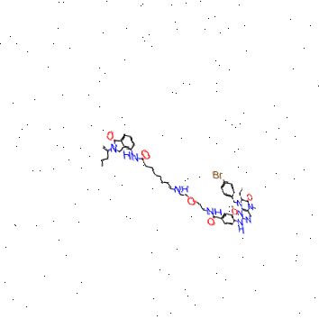 CCCC(C)N1Cc2c(NC(=O)CCCCCCCNCCOCCNC(=O)c3ccc(Nc4ncc5c(n4)N(Cc4ccc(Br)cc4)C(CC)C(=O)N5C)c(OC)c3)cccc2C1=O